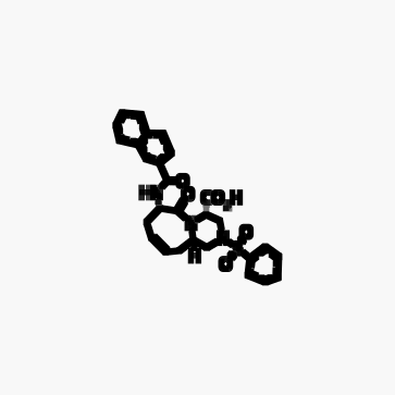 O=C(N[C@H]1CC=CC[C@H]2CN(S(=O)(=O)c3ccccc3)C[C@@H](C(=O)O)N2C1=O)c1ccc2ccccc2c1